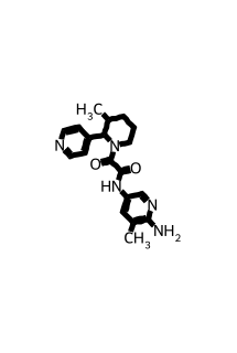 Cc1cc(NC(=O)C(=O)N2CCCC(C)C2c2ccncc2)cnc1N